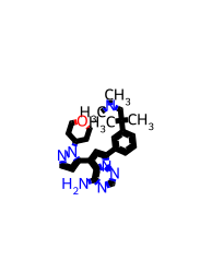 CN(C)CC(C)(C)c1cccc(-c2cc(-c3ccnn3C3CCOCC3)c3c(N)ncnn23)c1